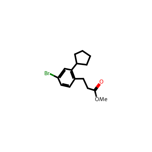 COC(=O)CCc1ccc(Br)cc1C1CCCC1